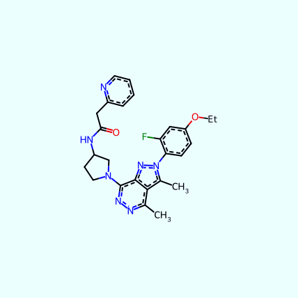 CCOc1ccc(-n2nc3c(N4CCC(NC(=O)Cc5ccccn5)C4)nnc(C)c3c2C)c(F)c1